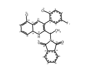 CC(C1=C(c2cc(F)ccc2Cl)N=C2C(Cl)=CC=CC2N1)N1C(=O)c2ccccc2C1=O